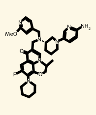 COc1cc(CN(Cc2cn3c4c(c(N5CCCCC5)c(F)cc4c2=O)OCC3C)[C@H]2CCCN(c3ccc(N)nc3)C2)ccn1